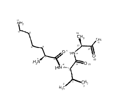 CC(C)[C@H](NC(=O)[C@@H](N)CCCCN)C(=O)N[C@@H](C)C(=O)O